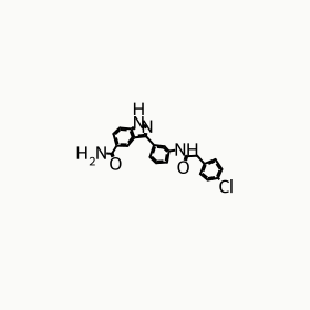 NC(=O)c1ccc2[nH]nc(-c3cccc(NC(=O)Cc4ccc(Cl)cc4)c3)c2c1